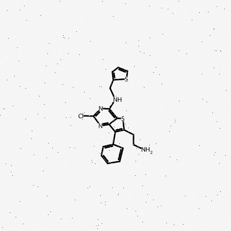 NCCc1sc2c(NCc3cccs3)nc(Cl)nc2c1-c1ccccc1